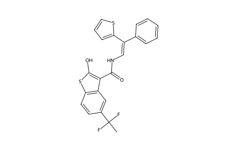 CC(F)(F)c1ccc2sc(O)c(C(=O)NC=C(c3ccccc3)c3cccs3)c2c1